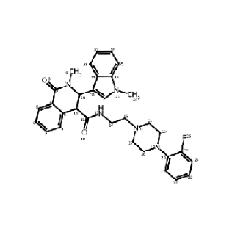 CN1C(=O)c2ccccc2C(C(=O)NCCN2CCN(c3ccccc3F)CC2)C1c1cn(C)c2ccccc12